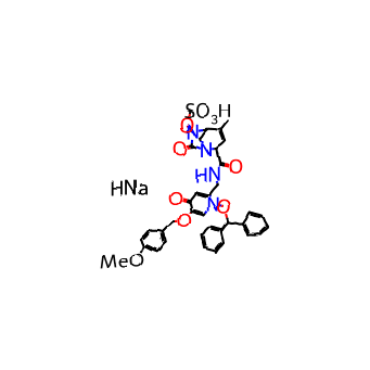 COc1ccc(COc2cn(OC(c3ccccc3)c3ccccc3)c(CNC(=O)C3C=C(C)C4CN3C(=O)N4OS(=O)(=O)O)cc2=O)cc1.[NaH]